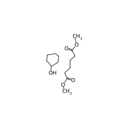 COC(=O)CCCCC(=O)OC.OC1CCCCC1